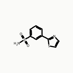 NS(=O)(=O)c1cccc(-c2nccs2)c1